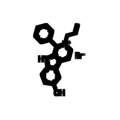 C=CC[n+]1ccc2c([nH]c3ccc(O)cc32)c1-c1ccccc1.[Br-]